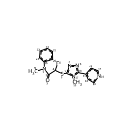 CN(C(=O)C(F)Sc1nnc(-c2ccncc2)n1C)c1ccccc1